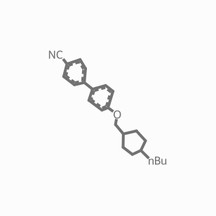 CCCCC1CCC(COc2ccc(-c3ccc(C#N)cc3)cc2)CC1